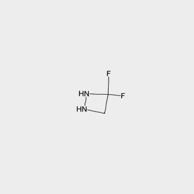 FC1(F)CNN1